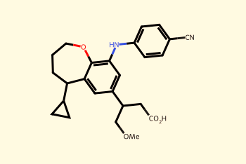 COCC(CC(=O)O)c1cc(Nc2ccc(C#N)cc2)c2c(c1)C(C1CC1)CCCO2